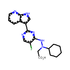 O=C(O)CN(Nc1nc(-c2c[nH]c3ncccc23)ncc1F)C1CCCCC1